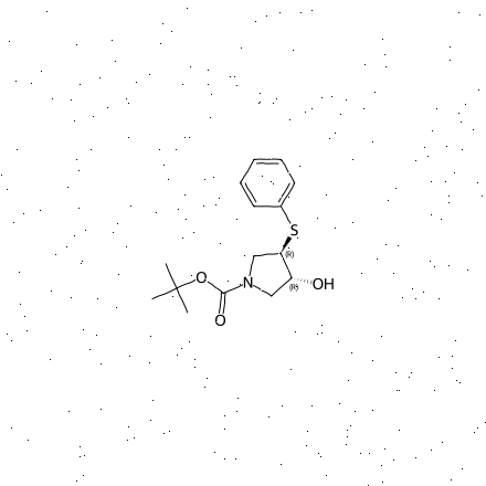 CC(C)(C)OC(=O)N1C[C@@H](O)[C@H](Sc2ccccc2)C1